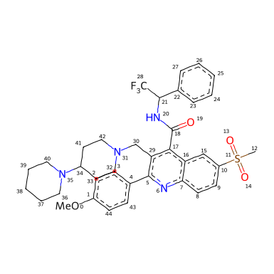 COc1ccc(-c2nc3ccc(S(C)(=O)=O)cc3c(C(=O)NC(c3ccccc3)C(F)(F)F)c2CN2CCC(N3CCCCC3)CC2)cc1